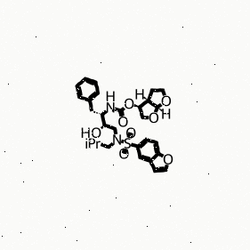 CC(C)CN(C[C@@H](O)[C@H](Cc1ccccc1)NC(=O)O[C@@H]1CO[C@@H]2OCC[C@@H]21)S(=O)(=O)c1ccc2occc2c1